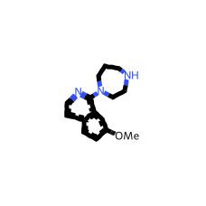 COc1ccc2ccnc(N3CCCNCC3)c2c1